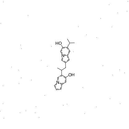 CC(C)c1cc2cc(CC(C)c3cn4cccc4cc3O)cn2cc1O